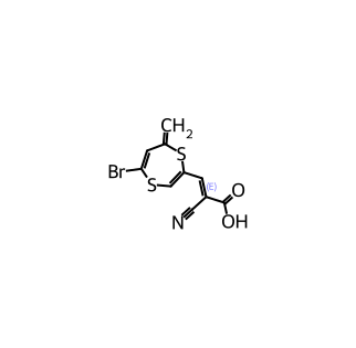 C=C1C=C(Br)SC=C(/C=C(\C#N)C(=O)O)S1